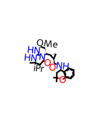 COCC[C@H]([C@@H]1C[C@H]1C(=O)N[C@H]1CC(C)(C)Oc2ccccc21)N1C(=N)N[C@](C)(C(C)C)CC1=O